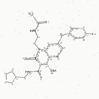 CC(=O)NCCn1c(=O)c(C(=O)NCC2CCCO2)c(O)c2ncc(Cc3ccc(F)cc3)cc21